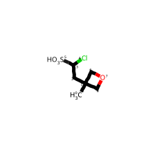 CC1(CC(Cl)S(=O)(=O)O)COC1